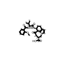 COc1ccccc1C(=O)NC(C(=O)N[C@H]1CCc2ccn3c2C1C(=O)C[C@H](C(=O)O)C3)C(C)C